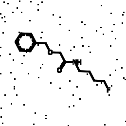 O=C(COCc1ccccc1)NCCCCF